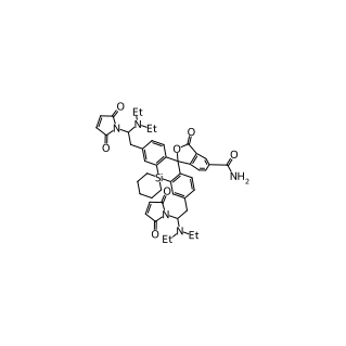 CCN(CC)C(Cc1ccc2c(c1)[Si]1(CCCCC1)c1cc(CC(N(CC)CC)N3C(=O)C=CC3=O)ccc1C21OC(=O)c2cc(C(N)=O)ccc21)N1C(=O)C=CC1=O